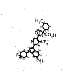 CC1CCCC(C(NC(=O)c2cnc(-c3cn(C4CCC(F)(F)CC4)c4cc(O)ccc34)nc2C(F)(F)F)(C(=O)O)C(C)C)C1